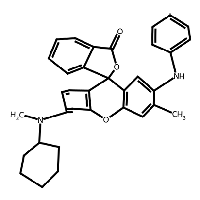 Cc1cc2c(cc1Nc1cc[c]cc1)C1(OC(=O)c3ccccc31)c1ccc(N(C)C3CCCCC3)cc1O2